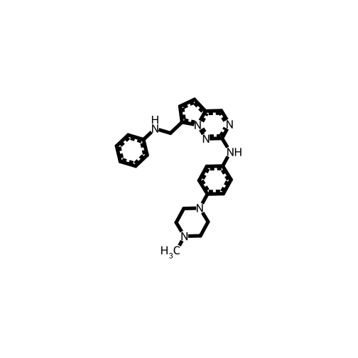 CN1CCN(c2ccc(Nc3ncc4ccc(CNc5ccccc5)n4n3)cc2)CC1